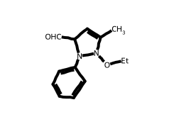 CCON1C(C)=CC(C=O)N1c1ccccc1